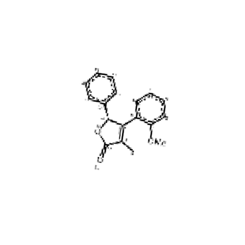 COc1ccccc1C1=C(C)C(=O)O[C@H]1c1ccccc1